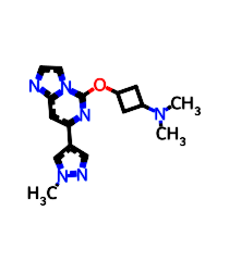 CN(C)C1CC(Oc2nc(-c3cnn(C)c3)cc3nccn23)C1